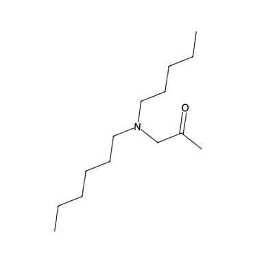 CCCCCCN(CCCCC)CC(C)=O